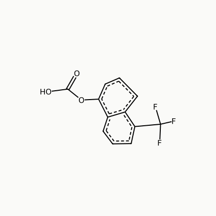 O=C(O)Oc1cccc2c(C(F)(F)F)cccc12